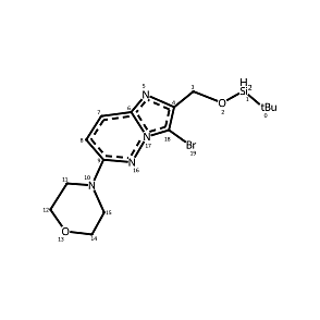 CC(C)(C)[SiH2]OCc1nc2ccc(N3CCOCC3)nn2c1Br